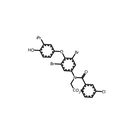 CC(C)c1cc(Oc2c(Br)cc(N(CC(=O)O)C(=O)c3cccc(Cl)c3)cc2Br)ccc1O